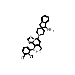 NC1c2ccccc2CC12CCN(c1cc(CO)c(Sc3cccc(Cl)c3Cl)c3ncnn13)CC2